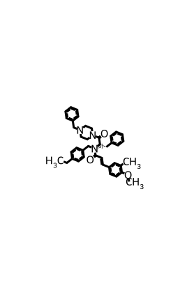 CCc1ccc(CN(C(=O)C=Cc2ccc(OC)c(C)c2)[C@@H](Cc2ccccc2)C(=O)N2CCN(Cc3ccccc3)CC2)cc1